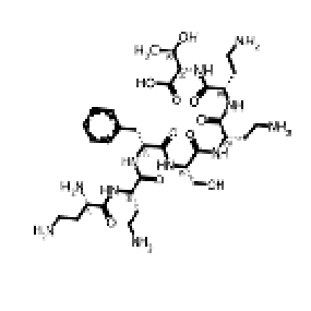 C[C@@H](O)[C@H](NC(=O)[C@H](CCN)NC(=O)[C@H](CCN)NC(=O)[C@H](CO)NC(=O)[C@@H](Cc1ccccc1)NC(=O)[C@H](CCN)NC(=O)[C@@H](N)CCN)C(=O)O